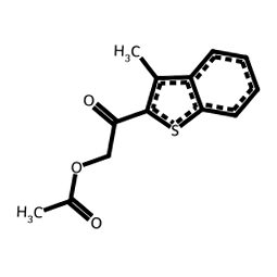 CC(=O)OCC(=O)c1sc2ccccc2c1C